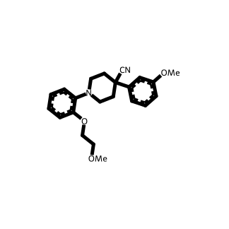 COCCOc1ccccc1N1CCC(C#N)(c2cccc(OC)c2)CC1